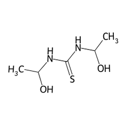 CC(O)NC(=S)NC(C)O